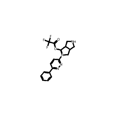 O=C(OC1C2CNCC2CN1c1ccc(-c2ccccc2)nn1)C(F)(F)F